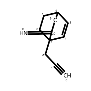 C#CCC12C=CC(CC1)CC2=N